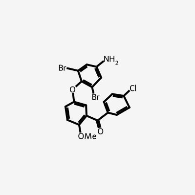 COc1ccc(Oc2c(Br)cc(N)cc2Br)cc1C(=O)c1ccc(Cl)cc1